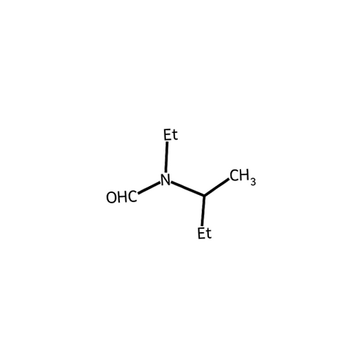 [CH2]CN(C=O)C(C)CC